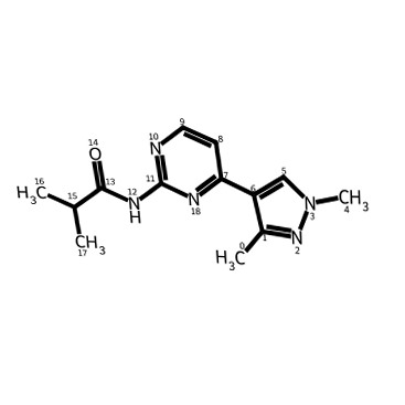 Cc1nn(C)cc1-c1ccnc(NC(=O)C(C)C)n1